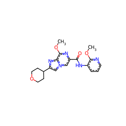 COc1ncccc1NC(=O)c1cn2cc(C3CCOCC3)nc2c(OC)n1